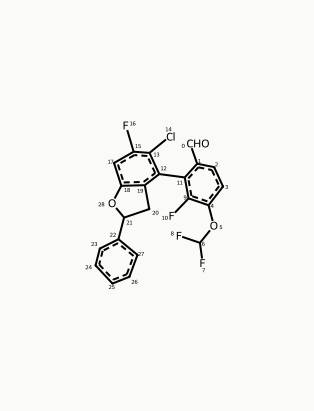 O=Cc1ccc(OC(F)F)c(F)c1-c1c(Cl)c(F)cc2c1CC(c1ccccc1)O2